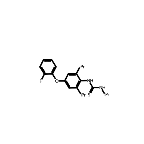 CC(C)NC(=S)Nc1c(C(C)C)cc(Oc2ccccc2F)cc1C(C)C